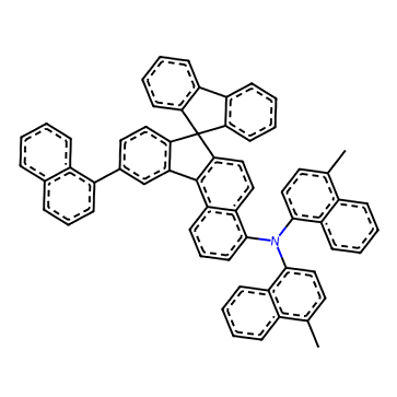 Cc1ccc(N(c2ccc(C)c3ccccc23)c2cccc3c4c(ccc23)C2(c3ccccc3-c3ccccc32)c2ccc(-c3cccc5ccccc35)cc2-4)c2ccccc12